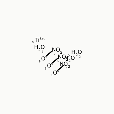 O.O.O.O=[N+]([O-])[O-].O=[N+]([O-])[O-].O=[N+]([O-])[O-].[Ti+3]